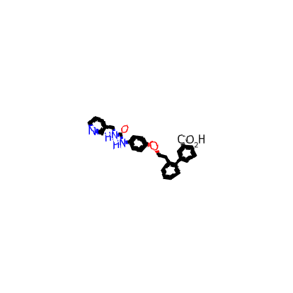 O=C(NCc1cccnc1)Nc1ccc(OCCc2ccccc2-c2cccc(C(=O)O)c2)cc1